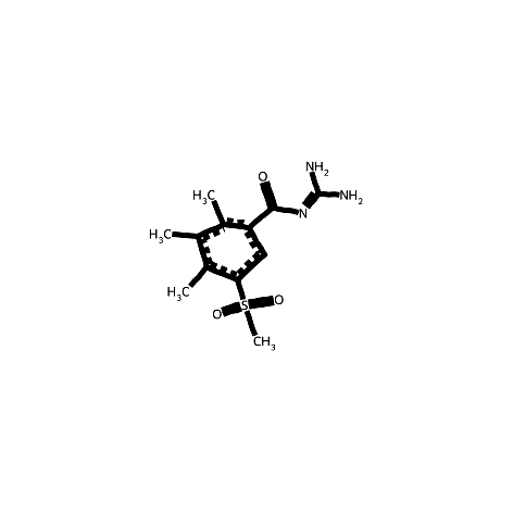 Cc1c(C(=O)N=C(N)N)cc(S(C)(=O)=O)c(C)c1C